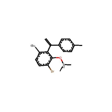 C=C(c1ccc(C)cc1)c1c(C(C)(C)C)ccc(Br)c1O[SiH](C)C